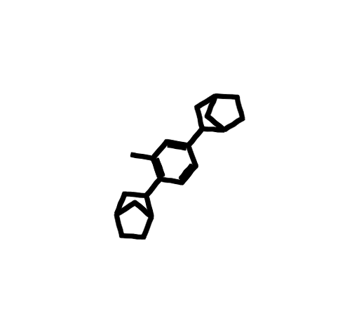 Cc1cc(C2CC3CCC2C3)ccc1C1CC2CCC1C2